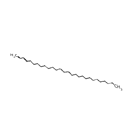 C=C/C=C/CCCCCCCCCCCCCCCCCCCCCCCC